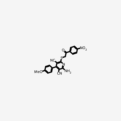 COc1ccc(-c2c(C#N)c(N)nc(SCC(=O)c3ccc([N+](=O)[O-])cc3)c2C#N)cc1